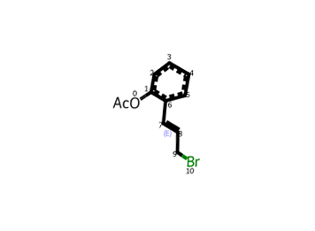 CC(=O)Oc1ccccc1/C=C/CBr